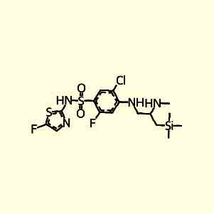 CNC(CNc1cc(F)c(S(=O)(=O)Nc2ncc(F)s2)cc1Cl)C[Si](C)(C)C